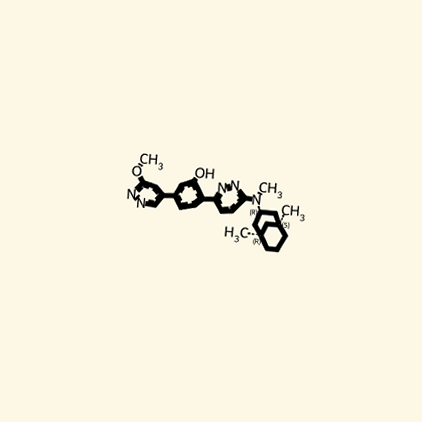 COc1cc(-c2ccc(-c3ccc(N(C)[C@H]4C[C@]5(C)CCC[C@](C)(C4)C5)nn3)c(O)c2)cnn1